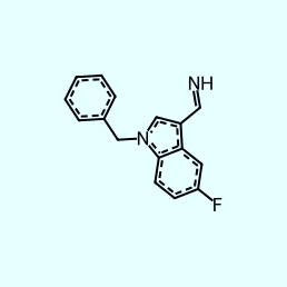 N=Cc1cn(Cc2ccccc2)c2ccc(F)cc12